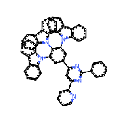 c1ccc(-c2nc(-c3cc(-n4c5ccccc5c5ccccc54)c(-n4c5ccccc5c5ccccc54)c(-n4c5ccccc5c5ccccc54)c3)cc(-c3ccccn3)n2)cc1